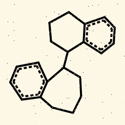 c1ccc2c(c1)CCCC[C]2C1CCCc2ccccc21